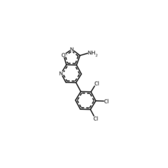 Nc1noc2ncc(-c3ccc(Cl)c(Cl)c3Cl)cc12